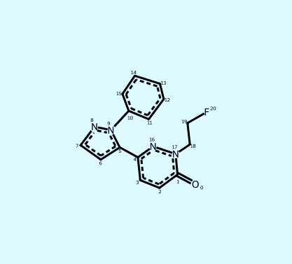 O=c1ccc(-c2ccnn2-c2ccccc2)nn1CCF